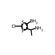 Bc1sc(Cl)pc1C(C)N